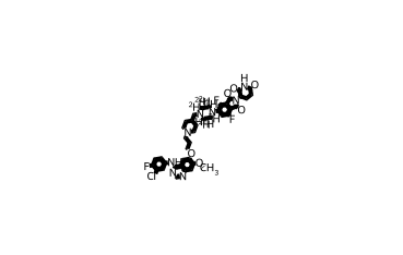 [2H]C1([2H])N(CC2CCN(CCCOc3cc4c(Nc5ccc(F)c(Cl)c5)ncnc4cc3OC)CC2)C([2H])([2H])C([2H])([2H])N(c2cc(F)c3c(c2F)C(=O)N(C2CCC(=O)NC2=O)C3=O)C1([2H])[2H]